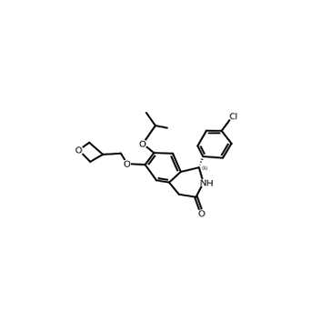 CC(C)Oc1cc2c(cc1OCC1COC1)CC(=O)N[C@H]2c1ccc(Cl)cc1